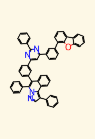 c1ccc(-c2nc(-c3cccc(-c4c(-c5ccccc5)n5ncc(-c6ccccc6)c5c5ccccc45)c3)cc(-c3cccc(-c4cccc5c4oc4ccccc45)c3)n2)cc1